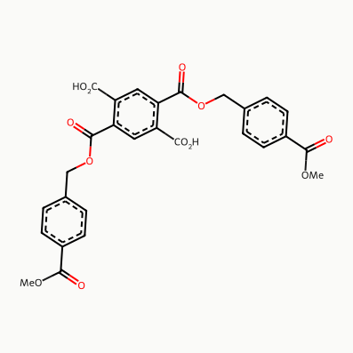 COC(=O)c1ccc(COC(=O)c2cc(C(=O)O)c(C(=O)OCc3ccc(C(=O)OC)cc3)cc2C(=O)O)cc1